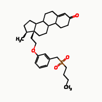 CCCCS(=O)(=O)Cc1cccc(OCC[C@]23CCC4C5CCC(=O)C=C5CCC4C2CC[C@@H]3C)c1